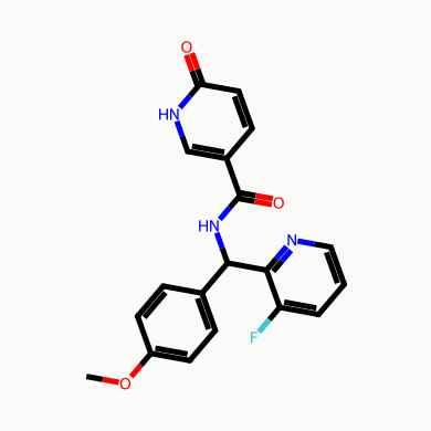 COc1ccc(C(NC(=O)c2ccc(=O)[nH]c2)c2ncccc2F)cc1